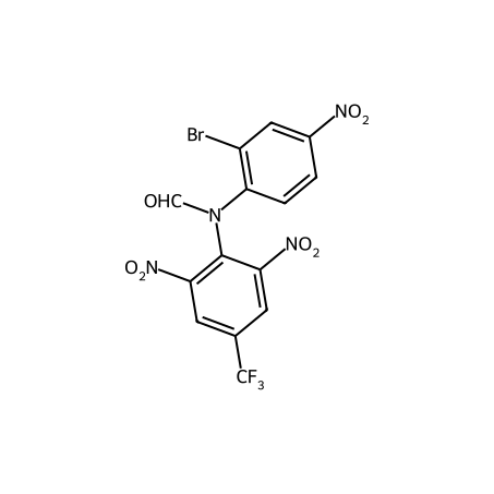 O=CN(c1ccc([N+](=O)[O-])cc1Br)c1c([N+](=O)[O-])cc(C(F)(F)F)cc1[N+](=O)[O-]